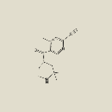 Cc1cc(C#N)ncc1C(=O)N1CCNC(C)(C)C1